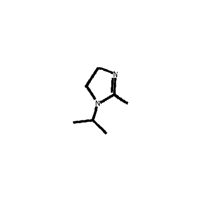 CC1=NCCN1C(C)C